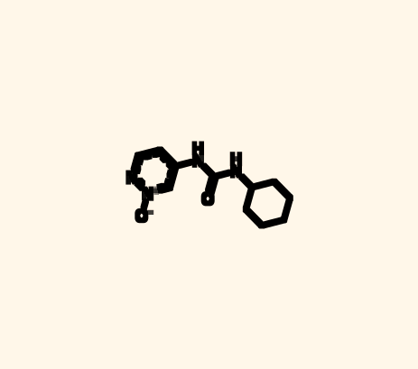 O=C(Nc1ccn[n+]([O-])c1)NC1CCCCC1